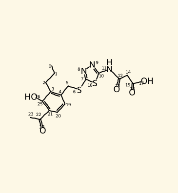 CCCc1c(CSc2nnc(NC(=O)CC(=O)O)s2)ccc(C(C)=O)c1O